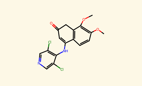 COc1ccc2c(c1OC)CC(=O)C=C2Nc1c(Cl)cncc1Cl